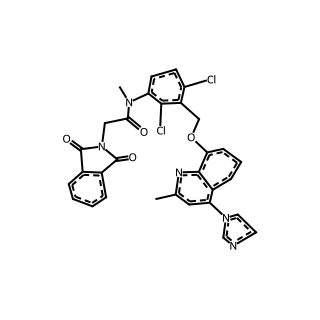 Cc1cc(-n2ccnc2)c2cccc(OCc3c(Cl)ccc(N(C)C(=O)CN4C(=O)c5ccccc5C4=O)c3Cl)c2n1